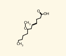 CCCCCC(CC=CCCC(=O)O)OC